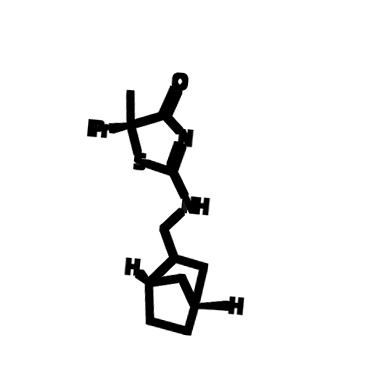 CC(C)[C@]1(C)SC(NCC2C[C@@H]3CC[C@H]2C3)=NC1=O